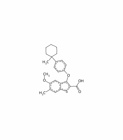 COc1cc2c(Oc3ccc(C4(C)CCCCC4)cc3)c(C(=O)O)sc2cc1C